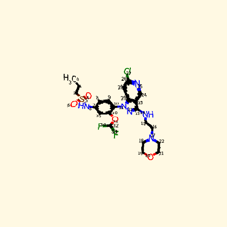 CCCS(=O)(=O)Nc1ccc(-n2nc(NCCN3CCOCC3)c3cnc(Cl)cc32)c(OC(F)F)c1